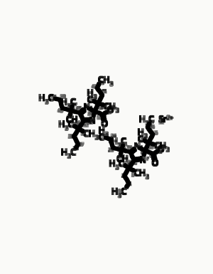 CCCC(C)(C)C1=NC(C(=O)[O-])(C(C)(C)CCC)N=C1C(C)(C)CCC.CCCC(C)(C)C1=NC(C(=O)[O-])(C(C)(C)CCC)N=C1C(C)(C)CCC.[Sr+2]